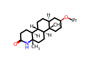 CC(C)O[C@H]1CC[C@@]2(C)[C@@H](CC[C@@H]3[C@@H]2CC[C@]2(C)NC(=O)CC[C@@H]32)C1